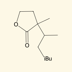 CCC(C)CC(C)C1(C)CCOC1=O